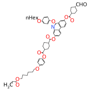 C=CC(=O)OCCCCCCOc1ccc(OC(=O)C2CCC(C(=O)Oc3ccc4c(c3)nc(Oc3ccc(OCCCCCC)cc3)c3cc(OC(=O)C5CCC(C=O)CC5)ccc34)CC2)cc1